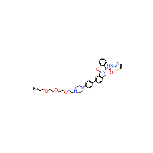 CC(C)(C)CCOCCOCCOCCN1CCN(c2ccc(-c3ccc4c(c3)C(=O)N(C(C(=O)Nc3nccs3)c3ccccc3)C4)cc2)CC1